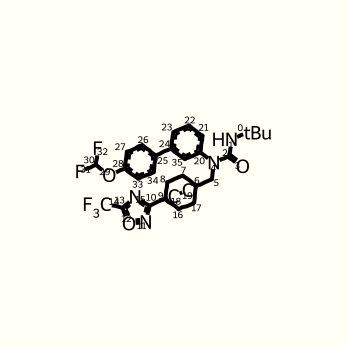 CC(C)(C)NC(=O)N(CC12CCC(c3noc(C(F)(F)F)n3)(CC1)CC2)c1cccc(-c2ccc(OC(F)F)cc2)c1